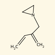 C=CC(=C)CN1CC1